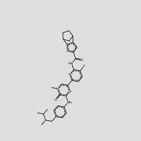 CC(C)N(C)Cc1ccc(Nc2nc(-c3ccc(F)c(NC(=O)c4cc5c(s4)C4CCC5C4)n3)cn(C)c2=O)cc1